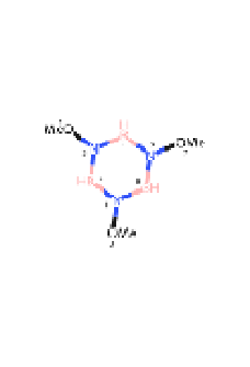 CON1BN(OC)BN(OC)B1